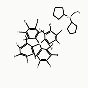 C[NH+](C1CCCC1)C1CCCC1.Fc1c(F)c(F)c([B-](c2c(F)c(F)c(F)c(F)c2F)(c2c(F)c(F)c(F)c(F)c2F)c2c(F)c(F)c(F)c(F)c2F)c(F)c1F